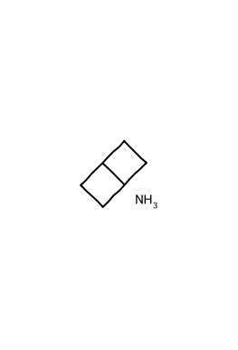 C1CC2CCC12.N